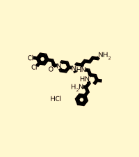 CC(C)CC(CNC(CCCCN)CN(C)C1CCN(C(=O)Cc2ccc(Cl)c(Cl)c2)CC1)NCC(N)Cc1ccccc1.Cl